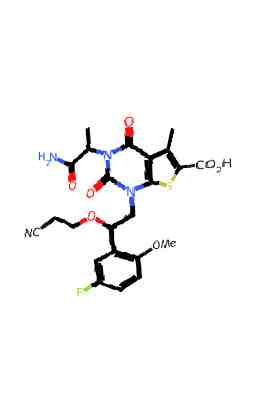 COc1ccc(F)cc1C(Cn1c(=O)n(C(C)C(N)=O)c(=O)c2c(C)c(C(=O)O)sc21)OCCC#N